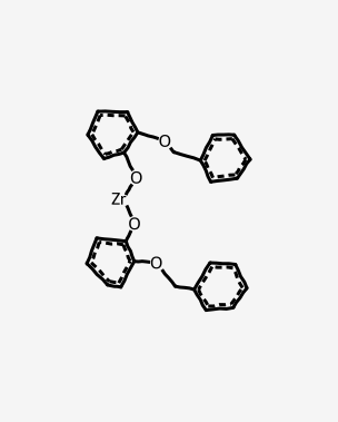 c1ccc(COc2ccccc2[O][Zr][O]c2ccccc2OCc2ccccc2)cc1